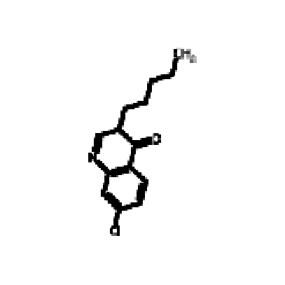 CCCCCC1C=Nc2cc(Cl)ccc2C1=O